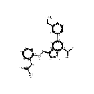 NCc1cccc(-c2cc(C(F)F)c3occ(COc4ccccc4CC(=O)O)c3c2)c1